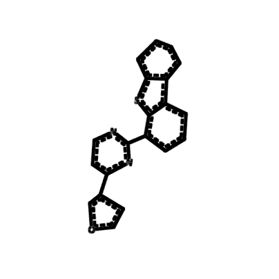 c1ccc2c(c1)sc1c(-c3nccc(-c4ccoc4)n3)cccc12